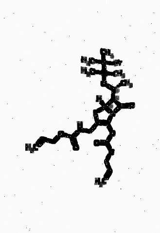 C=CCOC(=O)NCC1=C(OC(=O)OCC=C)N2C(=O)[C@H]([C@@H](C)O[Si](C)(C)C(C)(C)C(C)C)[C@H]2S1